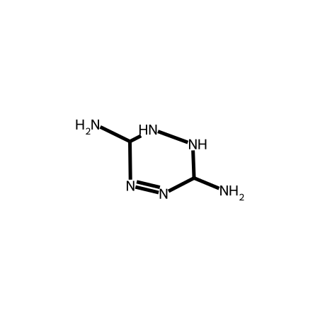 NC1N=NC(N)NN1